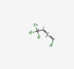 FC=C=CC(F)(F)F